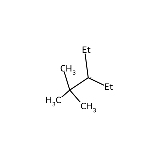 CC[C](CC)C(C)(C)C